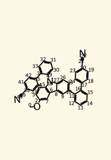 COc1ccc2c(c1)c1cc(-c3ccccc3-c3ccc(C#N)cc3)ccc1n2-c1ccccc1-c1ccc(C#N)cc1